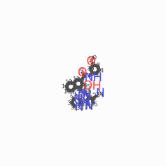 COc1cccc(NC(=O)c2cc3ccccc3c(/N=N/c3c(C#N)cnn3-c3ncccn3)c2O)c1